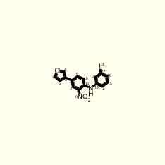 O=[N+]([O-])c1cc(-c2ccoc2)ccc1Nc1cccc(I)c1